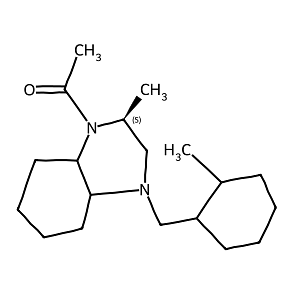 CC(=O)N1C2CCCCC2N(CC2CCCCC2C)C[C@@H]1C